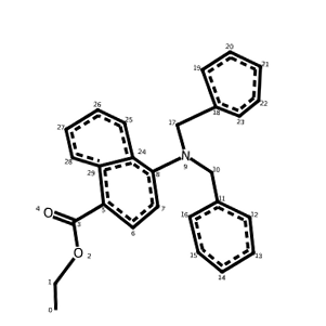 CCOC(=O)c1ccc(N(Cc2ccccc2)Cc2ccccc2)c2ccccc12